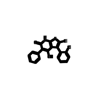 O=c1[nH]c2sc(Cl)c(-c3ccccc3Cl)c2c(O)c1-c1ccccc1